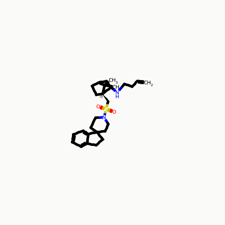 C=CCCNC1CC2CC[C@]1(CS(=O)(=O)N1CCC3(CCc4ccccc43)CC1)C2(C)C